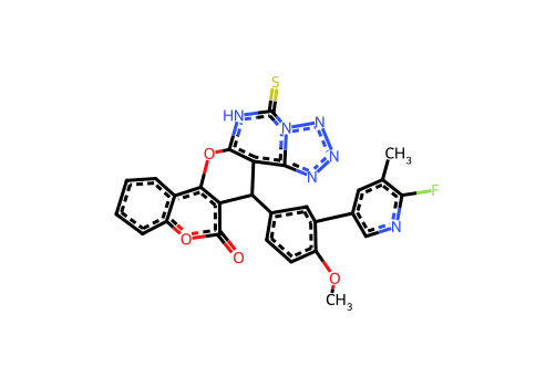 COc1ccc(C2c3c(c4ccccc4oc3=O)Oc3[nH]c(=S)n4nnnc4c32)cc1-c1cnc(F)c(C)c1